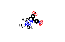 Cc1nc(N2N=C(c3ccc([N+](=O)[O-])cc3)c3cc4c(cc3CC2C)OCO4)nn1C